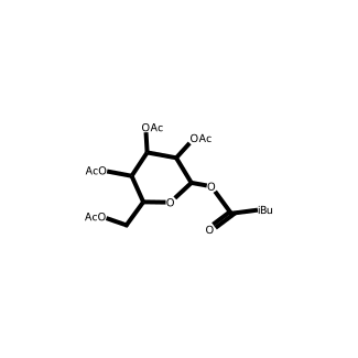 CCC(C)C(=O)OC1OC(COC(C)=O)C(OC(C)=O)C(OC(C)=O)C1OC(C)=O